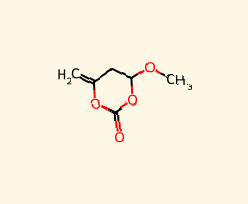 C=C1CC(OC)OC(=O)O1